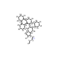 C=C/C=C\c1c(C)sc2ccc(-c3ccccc3-c3ccc4c5ccccc5c5ccccc5c4c3)cc12